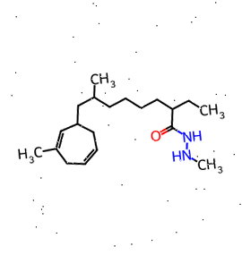 CCC(CCCCC(C)CC1C=C(C)CC=CC1)C(=O)NNC